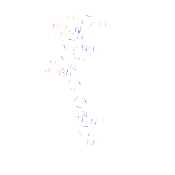 Cc1cc(N=Nc2ccc(-c3ccc(N/N=C4/C(=O)c5c(cc(S(=O)(=O)O)c(N=Nc6cc(Cl)ccc6Cl)c5N)C=C4S(=O)(=O)O)cc3)cc2)c(N)cc1N